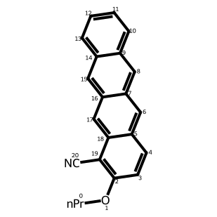 CCCOc1ccc2cc3cc4ccccc4cc3cc2c1C#N